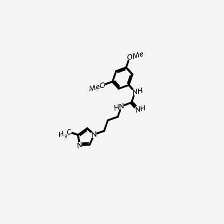 COc1cc(NC(=N)NCCCn2cnc(C)c2)cc(OC)c1